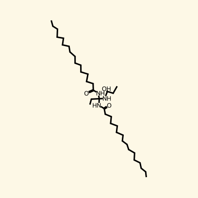 CCCCCCCCCCCCCCCC(=O)NC(CC)(NC(=O)CCCCCCCCCCCCCCC)NC(O)CC